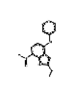 [CH2]Cc1cc2c(Nc3ccncc3)ccc([N+](=O)[O-])c2[nH]1